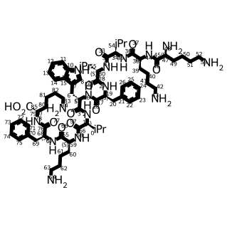 CC(C)[C@H](NC(=O)[C@H](Cc1c[nH]c2ccccc12)NC(=O)[C@H](Cc1ccccc1)NC(=O)[C@@H](NC(=O)[C@@H](NC(=O)[C@H](CCCCN)NC(=O)[C@@H](N)CCCCN)C(C)C)C(C)C)C(=O)N[C@@H](CCCCN)C(=O)N[C@@H](Cc1ccccc1)C(=O)N[C@@H](CCCCN)C(=O)O